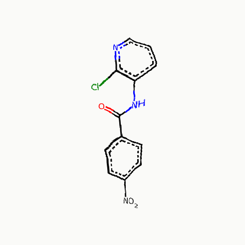 O=C(Nc1cccnc1Cl)c1ccc([N+](=O)[O-])cc1